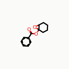 O=C(OC12CCCCC1O2)c1ccccc1